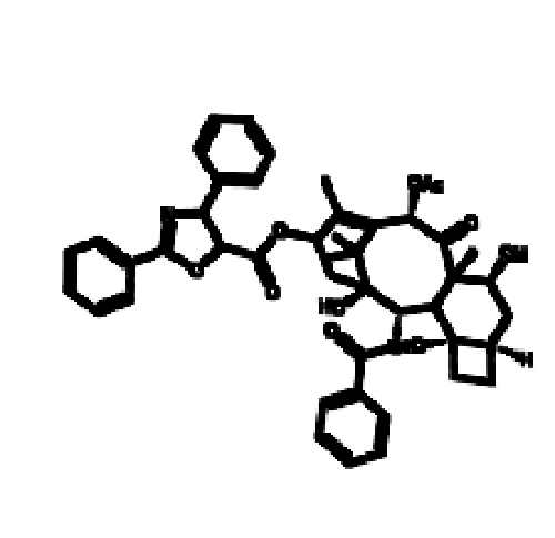 CC(=O)O[C@H]1C(=O)[C@@]2(C)C([C@H](OC(=O)c3ccccc3)[C@]3(O)CC(OC(=O)C4OC(c5ccccc5)=NC4c4ccccc4)C(C)=C1C3(C)C)[C@]1(OC(C)=O)CC[C@@H]1C[C@@H]2O